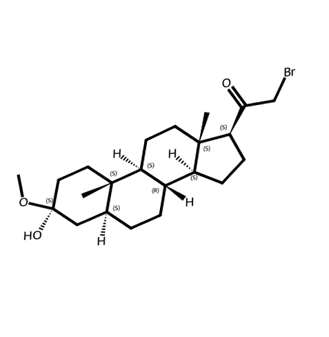 CO[C@@]1(O)CC[C@@]2(C)[C@@H](CC[C@@H]3[C@@H]2CC[C@]2(C)[C@@H](C(=O)CBr)CC[C@@H]32)C1